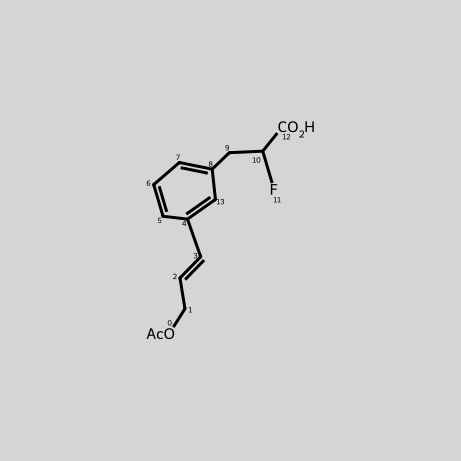 CC(=O)OCC=Cc1cccc(CC(F)C(=O)O)c1